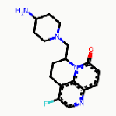 NC1CCN(CC2CCc3c(F)cnc4ccc(=O)n2c34)CC1